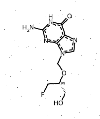 Nc1nc2c(ncn2CO[C@H](CO)CF)c(=O)[nH]1